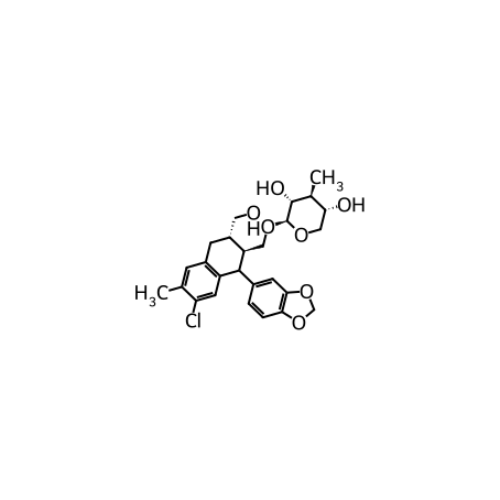 Cc1cc2c(cc1Cl)C(c1ccc3c(c1)OCO3)[C@H](CO[C@@H]1OC[C@@H](O)[C@H](C)[C@H]1O)[C@@H](CO)C2